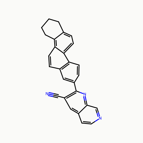 N#Cc1cc2ccncc2nc1-c1ccc2c(ccc3c4c(ccc32)CCCC4)c1